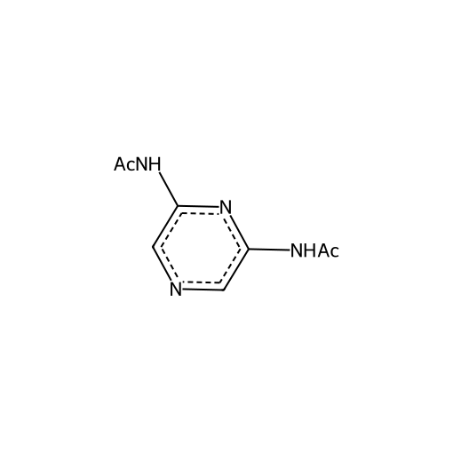 CC(=O)Nc1cncc(NC(C)=O)n1